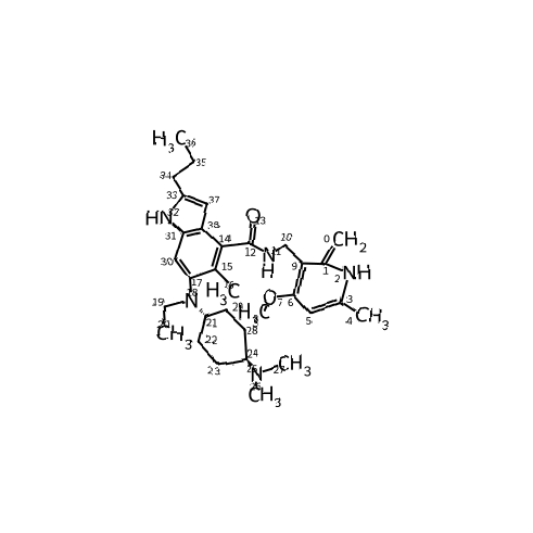 C=C1NC(C)=CC(OC)=C1CNC(=O)c1c(C)c(N(CC)[C@H]2CC[C@H](N(C)C)CC2)cc2[nH]c(CCC)cc12